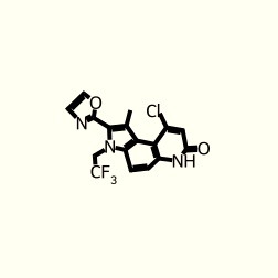 Cc1c(-c2ncco2)n(CC(F)(F)F)c2ccc3[nH]c(=O)cc(Cl)c3c12